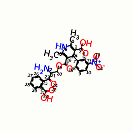 CC1=C(C(=O)O)[C@@H](c2cccc([N+](=O)[O-])c2)C(C(=O)OCC(N)C(=O)c2ccccc2C(=O)O)=C(C)N1